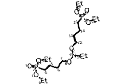 CCOP(=O)(CCCCON(CC)OCCCCP(=O)(OCC)OCC)OCC